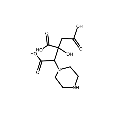 O=C(O)CC(O)(C(=O)O)C(C(=O)O)N1CCNCC1